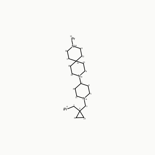 CC(C)CC1(CN2CCC(N3CCC4(CCN(C(C)C)CC4)CC3)CC2)CC1